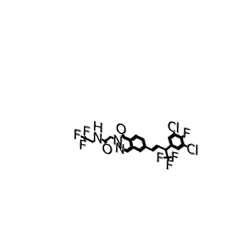 O=C(Cn1ncc2cc(/C=C/C(c3cc(Cl)c(F)c(Cl)c3)C(F)(F)F)ccc2c1=O)NCC(F)(F)F